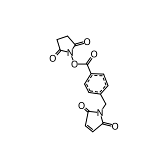 O=C(ON1C(=O)CCC1=O)c1ccc(CN2C(=O)C=CC2=O)cc1